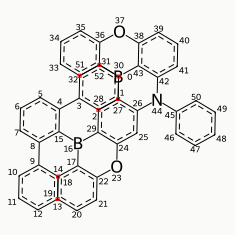 c1ccc(-c2cccc(-c3ccccc3)c2B2c3ccccc3Oc3cc4c(cc32)B2c3ccccc3Oc3cccc(c32)N4c2ccccc2)cc1